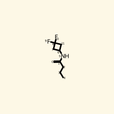 C=C(CCC)NC1CC(F)(F)C1